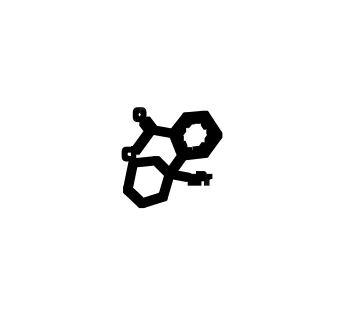 CCCC1(c2ccccc2C(=O)Cl)CCCCC1